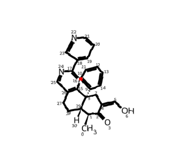 C[C@@H]1C(=O)C(=CO)C[C@]2(c3ccccc3)c3nc(-c4cccnc4)ncc3CC[C@@H]12